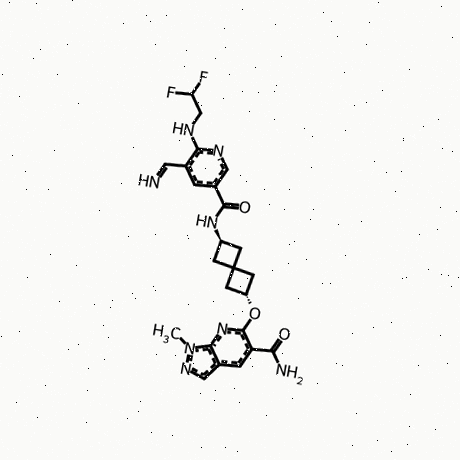 Cn1ncc2cc(C(N)=O)c(O[C@H]3CC4(C[C@H](NC(=O)c5cnc(NCC(F)F)c(C=N)c5)C4)C3)nc21